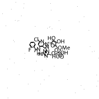 COCC(COCc1nn[nH]n1)(OC[C@H]1O[C@H](Cn2ncc3c(N[C@@H](C)c4ccccc4F)cc(Cl)nc32)[C@H](O)[C@@H]1O)P(=O)(O)O